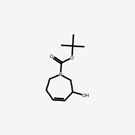 CC(C)(C)OC(=O)N1CCC=CC(O)C1